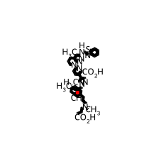 Cc1c(Nc2nc3ccccc3s2)nnc2c1CCCN2c1ccc(-c2cnn(CC34CC5(C)CC(C)(CC(CCCN(C)CCCC(=O)O)(C5)C3)C4)c2C)c(C(=O)O)n1